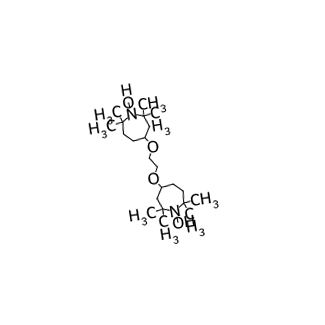 CC1(C)CCC(OCCOC2CCC(C)(C)N(O)C(C)(C)C2)CC(C)(C)N1O